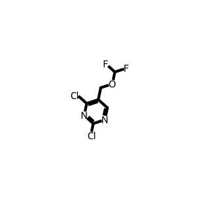 FC(F)OCc1cnc(Cl)nc1Cl